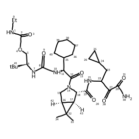 CCNC(=O)OC[C@@H](NC(=O)N[C@H](C(=O)N1C[C@H]2[C@@H]([C@H]1C(=O)NC(CC1CC1)C(=O)C(N)=O)C2(C)C)C1CCCCC1)C(C)(C)C